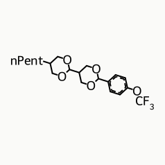 CCCCCC1COC(C2COC(c3ccc(OC(F)(F)F)cc3)OC2)OC1